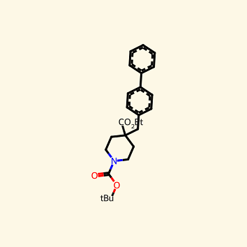 CCOC(=O)C1(Cc2ccc(-c3ccccc3)cc2)CCN(C(=O)OC(C)(C)C)CC1